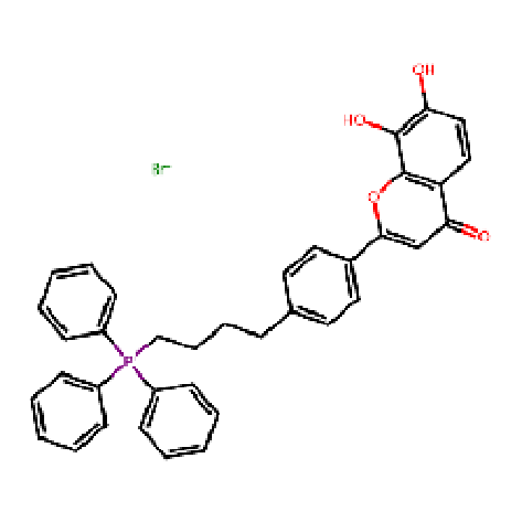 O=c1cc(-c2ccc(CCCC[P+](c3ccccc3)(c3ccccc3)c3ccccc3)cc2)oc2c(O)c(O)ccc12.[Br-]